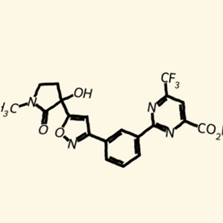 CN1CCC(O)(c2cc(-c3cccc(-c4nc(C(=O)O)cc(C(F)(F)F)n4)c3)no2)C1=O